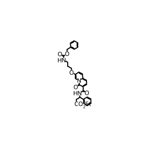 CCOC(=O)CC(NC(=O)c1ccc2ccc(OCCCNC(=O)OCc3ccccc3)cn2c1=O)c1ccccc1